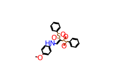 COc1ccc(NC=C(S(=O)(=O)c2ccccc2)S(=O)(=O)c2ccccc2)cc1